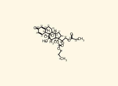 CCCOC(=O)O[C@]1(C(=O)COC(=O)CC)CC[C@H]2[C@@H]3CCC4=CC(=O)C=C[C@]4(C)[C@@]3(Cl)C(O)C[C@@]21C